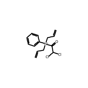 C=CC[N+](CC=C)(C(=O)C(Cl)Cl)c1ccccc1